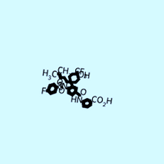 CC(C)=CCC1N(S(=O)(=O)c2ccc(F)cc2)c2ccc(C(=O)Nc3cccc(C(=O)O)c3)cc2C12CCC(O)(C(F)(F)F)CC2